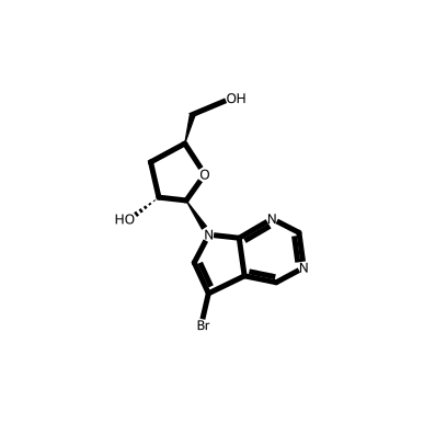 OC[C@@H]1C[C@@H](O)[C@H](n2cc(Br)c3cncnc32)O1